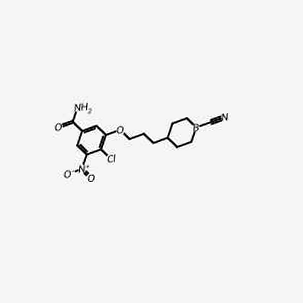 N#CB1CCC(CCCOc2cc(C(N)=O)cc([N+](=O)[O-])c2Cl)CC1